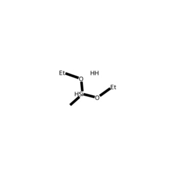 CCO[SiH](C)OCC.[HH]